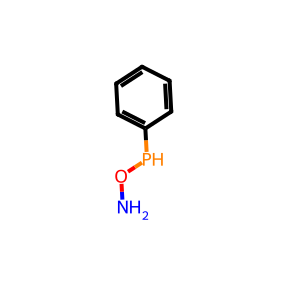 NOPc1ccccc1